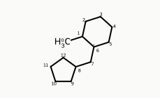 CC1CCCC[C]1CC1CCCC1